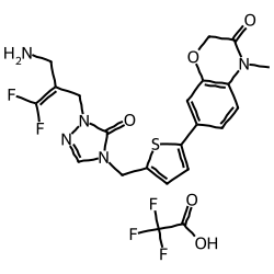 CN1C(=O)COc2cc(-c3ccc(Cn4cnn(CC(CN)=C(F)F)c4=O)s3)ccc21.O=C(O)C(F)(F)F